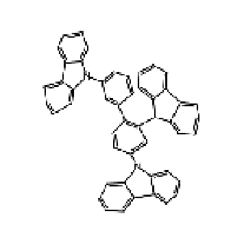 c1cc(-c2ccc(-n3c4ccccc4c4ccccc43)cc2C2c3ccccc3-c3ccccc32)cc(-n2c3ccccc3c3ccccc32)c1